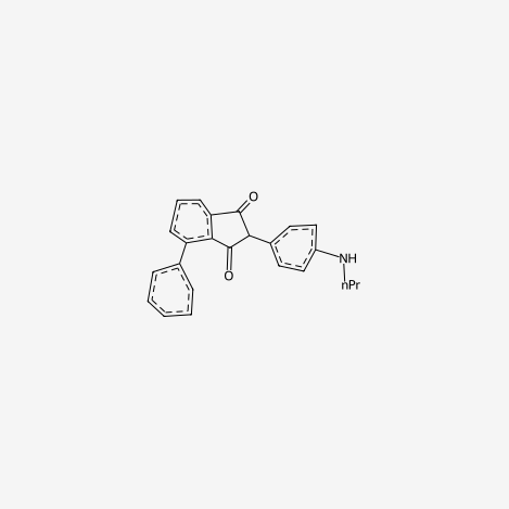 CCCNc1ccc(C2C(=O)c3cccc(-c4ccccc4)c3C2=O)cc1